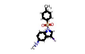 [C-]#[N+]c1ccc2c(c1)c(I)cn2S(=O)(=O)c1ccc(C)cc1